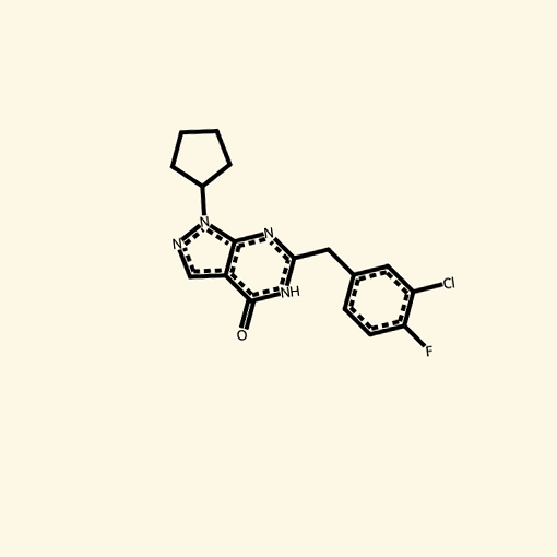 O=c1[nH]c(Cc2ccc(F)c(Cl)c2)nc2c1cnn2C1CCCC1